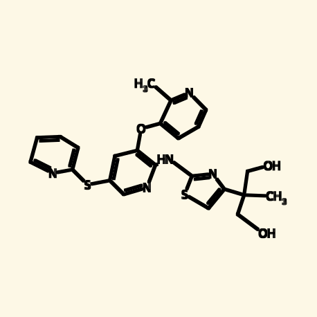 Cc1ncccc1Oc1cc(Sc2ccccn2)cnc1Nc1nc(C(C)(CO)CO)cs1